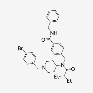 CCC(CC)C(=O)N(Cc1ccc(C(=O)NCc2ccccc2)cc1)C1CCN(Cc2ccc(Br)cc2)CC1